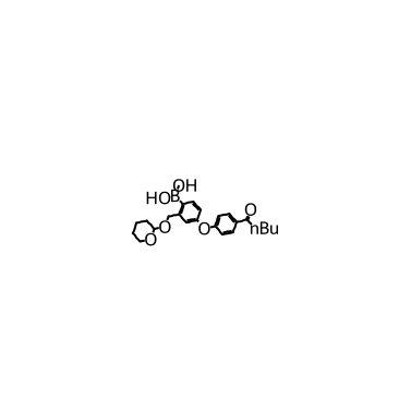 CCCCC(=O)c1ccc(Oc2ccc(B(O)O)c(COC3CCCCO3)c2)cc1